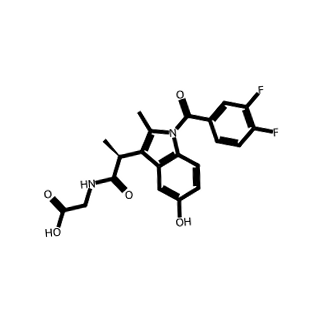 Cc1c([C@H](C)C(=O)NCC(=O)O)c2cc(O)ccc2n1C(=O)c1ccc(F)c(F)c1